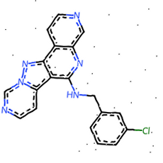 Clc1cccc(CNc2nc3cnccc3c3nn4cnccc4c23)c1